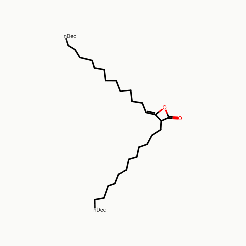 CCCCCCCCCCCCCCCCCCCCCC/C=C1\OC(=O)C1CCCCCCCCCCCCCCCCCCCCCC